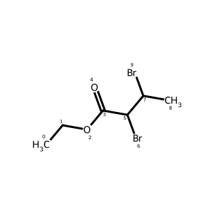 CCOC(=O)C(Br)C(C)Br